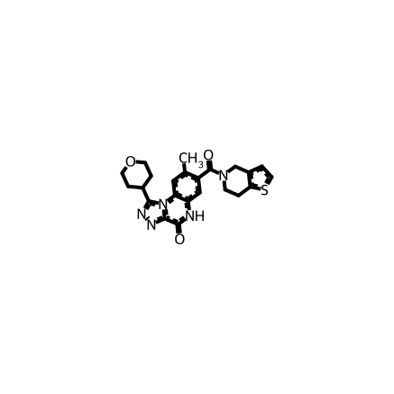 Cc1cc2c(cc1C(=O)N1CCc3sccc3C1)[nH]c(=O)c1nnc(C3CCOCC3)n12